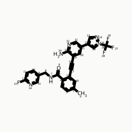 Cc1ccc(C(=O)NCc2ccc(F)nc2)c(C#Cc2cc(-c3cnn(C(F)(F)F)c3)cnc2N)c1